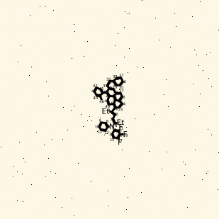 CC/C(=C\C=C(/CC)N(c1ccccc1)c1ccc(F)c(F)c1F)c1ccc2ccc3cc(/C=C\c4ccccc4)c(-c4ccccc4C)c4ccc1c2c34